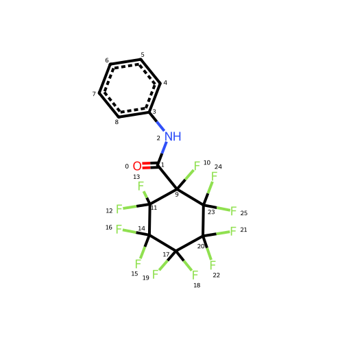 O=C(Nc1ccccc1)C1(F)C(F)(F)C(F)(F)C(F)(F)C(F)(F)C1(F)F